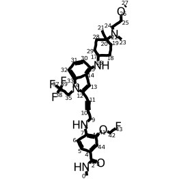 CNC(=O)c1ccc(NCC#Cc2cc3c(NC4CCC(C)(N(C)CCOC)CC4)cccc3n2CC(F)(F)F)c(OCF)c1